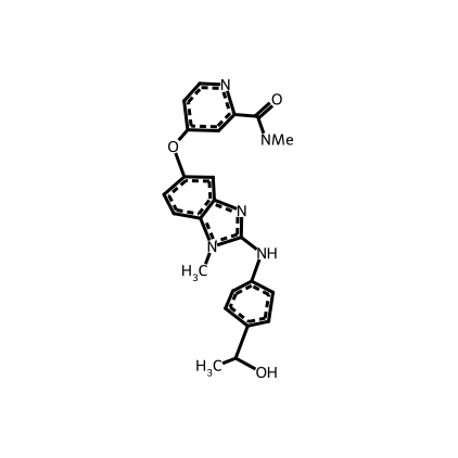 CNC(=O)c1cc(Oc2ccc3c(c2)nc(Nc2ccc(C(C)O)cc2)n3C)ccn1